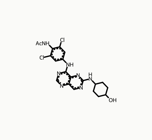 CC(=O)Nc1c(Cl)cc(Nc2ncnc3cnc(NC4CCC(O)CC4)nc23)cc1Cl